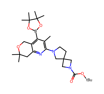 Cc1c(N2CCC3(CN(C(=O)OC(C)(C)C)C3)C2)nc2c(c1B1OC(C)(C)C(C)(C)O1)COC(C)(C)C2